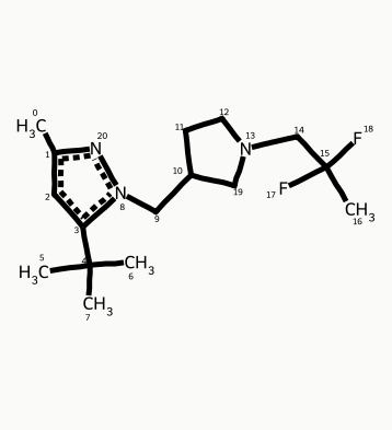 Cc1cc(C(C)(C)C)n(CC2CCN(CC(C)(F)F)C2)n1